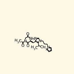 CC(=O)N1CC(=O)NC(=Cc2ncn(CCCn3cccc3)c2C(C)C)C1=O